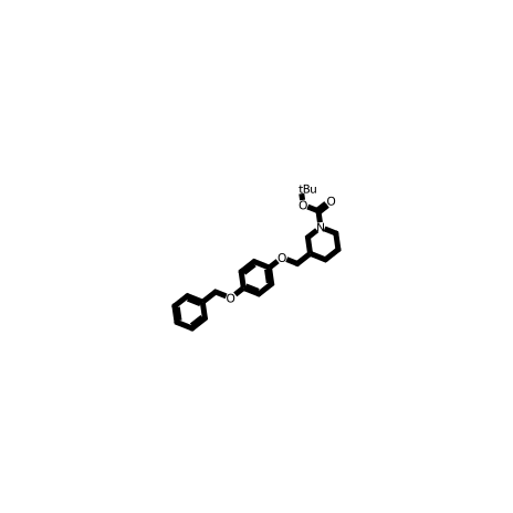 CC(C)(C)OC(=O)N1CCCC(COc2ccc(OCc3ccccc3)cc2)C1